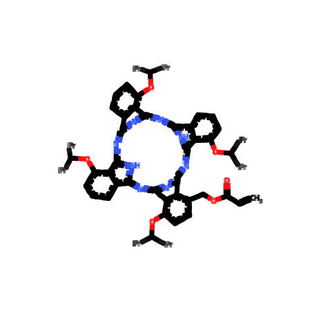 C=CC(=O)OCc1ccc(OC(C(C)C)C(C)C)c2c1-c1nc-2nc2[nH]c(nc3nc(nc4[nH]c(n1)c1c(OC(C(C)C)C(C)C)cccc41)-c1c(OC(C(C)C)C(C)C)cccc1-3)c1c(OC(C(C)C)C(C)C)cccc21